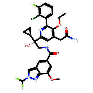 CCOc1c(CC(N)=O)cc([C@@](O)(CNC(=O)c2cc(OC)c3nn(C(F)F)cc3c2)C2CC2)nc1-c1cccc(F)c1Cl